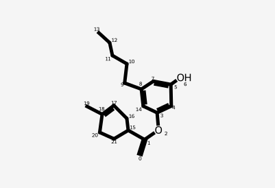 C=C(Oc1cc(O)cc(CCCCC)c1)C1CC=C(C)CC1